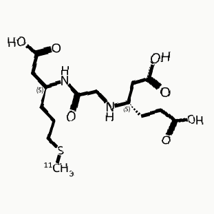 [11CH3]SCCC[C@@H](CC(=O)O)NC(=O)CN[C@@H](CCC(=O)O)CC(=O)O